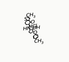 Cc1ccc(O[C@@H]2CC[C@@H](NCC3CCc4sc(C)cc4C3=O)[C@H]2O)cc1.Cl